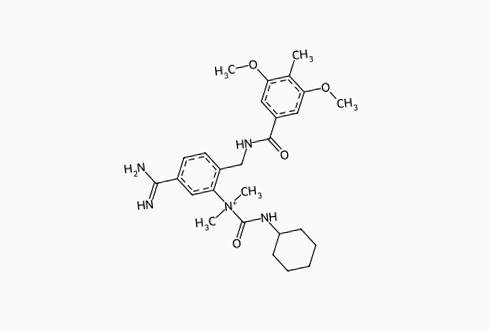 COc1cc(C(=O)NCc2ccc(C(=N)N)cc2[N+](C)(C)C(=O)NC2CCCCC2)cc(OC)c1C